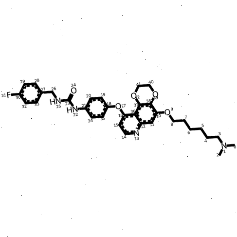 CN(C)CCCCCCOc1cc2nccc(Oc3ccc(NC(=O)NCc4ccc(F)cc4)cc3)c2c2c1OCCO2